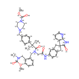 CN(Cc1ccccc1CN(CC(=O)Nc1ccc2c(c1)CC1(C2)C(=O)Nc2ncccc21)C(=O)C(C)(C)c1ccc(CN2CCN(C(=O)OC(C)(C)C)CC2)cc1)C(=O)OC(C)(C)C